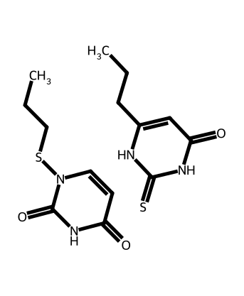 CCCSn1ccc(=O)[nH]c1=O.CCCc1cc(=O)[nH]c(=S)[nH]1